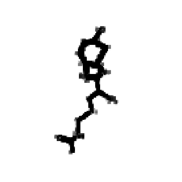 CC(=O)NCSCC(N)c1nc2cc(Cl)ccc2[nH]1